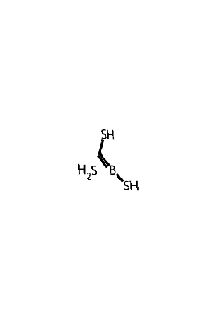 S.SB=CS